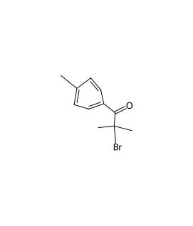 Cc1ccc(C(=O)C(C)(C)Br)cc1